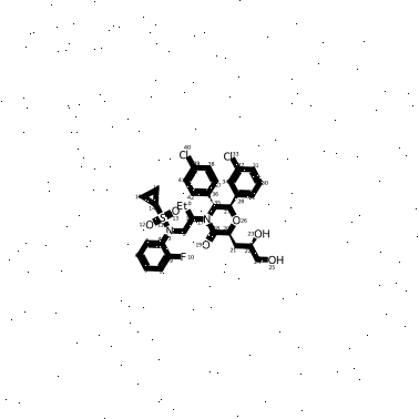 CCC(CN(c1ccccc1F)S(=O)(=O)C1CC1)N1C(=O)[C@H](C[C@@H](O)CO)O[C@H](c2cccc(Cl)c2)[C@H]1c1ccc(Cl)cc1